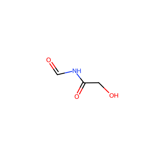 O=CNC(=O)CO